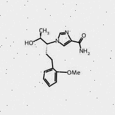 COc1ccccc1CC[C@H]([C@H](C)O)n1cnc(C(N)=O)c1